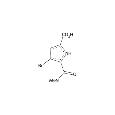 CNC(=O)c1[nH]c(C(=O)O)cc1Br